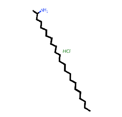 CCCCCCCCCCCCCCCCCCCCCCC(C)N.Cl